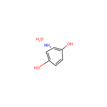 N.O.Oc1ccc(O)cc1